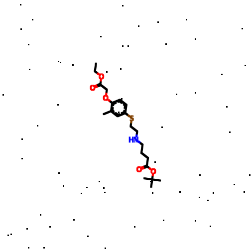 CCOC(=O)COc1ccc(SCCNCCCC(=O)OC(C)(C)C)cc1C